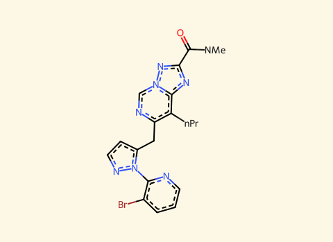 CCCc1c(Cc2ccnn2-c2ncccc2Br)ncn2nc(C(=O)NC)nc12